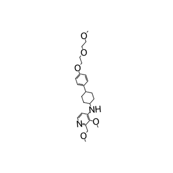 COCCOCCOc1ccc(C2CCC(Nc3ccnc(COC)c3OC)CC2)cc1